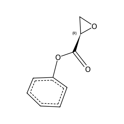 O=C(Oc1ccccc1)[C@H]1CO1